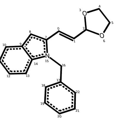 C(=CC1OCCO1)c1cc2ccccc2n1Cc1ccccc1